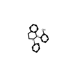 Oc1ccccc1[C@@H]1c2ccccc2CC[C@@H]1c1ccccc1